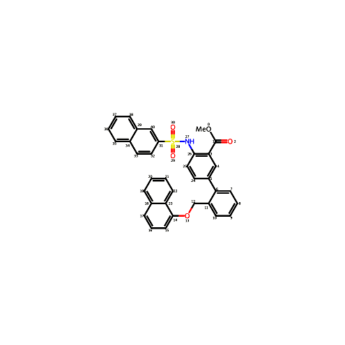 COC(=O)c1cc(-c2ccccc2COc2cccc3ccccc23)ccc1NS(=O)(=O)c1ccc2ccccc2c1